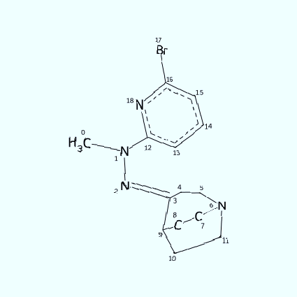 CN(/N=C1\CCN2CCC1CC2)c1cccc(Br)n1